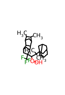 CC1C(C)C2CC1C1C3CC(C21)C(C(OO)C(C)(C)C12CC4CC(CC(C4)C1)C2)(C(F)(F)F)C3